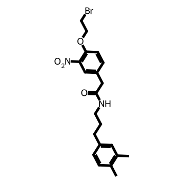 Cc1ccc(CCCNC(=O)Cc2ccc(OCCBr)c([N+](=O)[O-])c2)cc1C